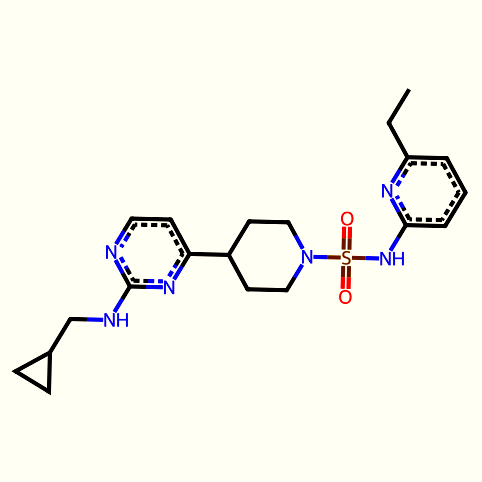 CCc1cccc(NS(=O)(=O)N2CCC(c3ccnc(NCC4CC4)n3)CC2)n1